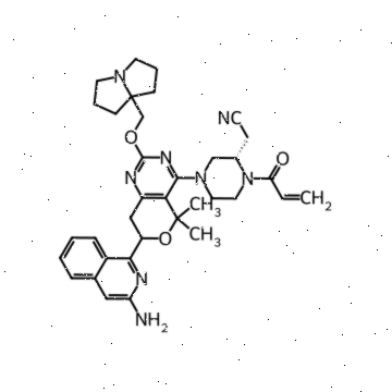 C=CC(=O)N1CCN(c2nc(OCC34CCCN3CCC4)nc3c2C(C)(C)OC(c2nc(N)cc4ccccc24)C3)C[C@@H]1CC#N